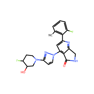 N#Cc1cccc(F)c1-c1cc(-n2ccc(N3CCC(F)C(O)C3)n2)c2c(n1)CNC2=O